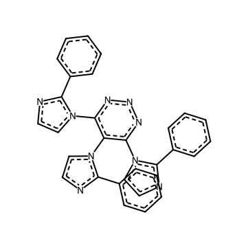 c1ccc(-c2nccn2-c2nnnc(-n3ccnc3-c3ccccc3)c2-n2ccnc2-c2ccccc2)cc1